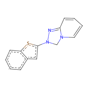 [c]1ccc2sc(N3CN4C=CC=CC4=N3)cc2c1